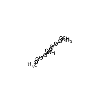 CNC(=O)COCCCOCCCOc1ccc(NC(=O)CCOCCCOCCOc2ccc(C)cc2)cc1